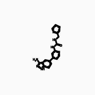 Nc1n[nH]c2ccc(-c3ccnc(NC(=O)NCc4ccccn4)c3)cc12